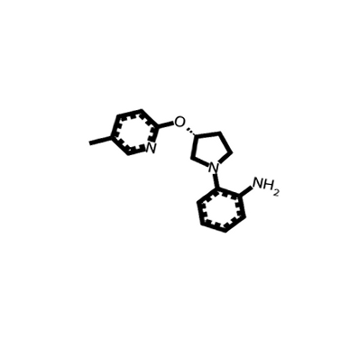 Cc1ccc(O[C@@H]2CCN(c3ccccc3N)C2)nc1